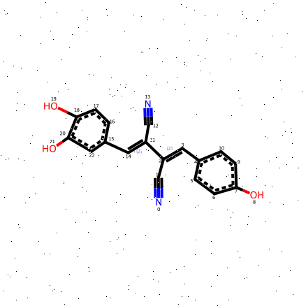 N#CC(=C\c1ccc(O)cc1)/C(C#N)=C/c1ccc(O)c(O)c1